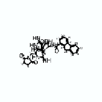 N=C1N[C@H]2[C@H](CN3C(=O)CCC3=O)NC(=N)N3C[C@H](NC(=O)c4cccc5c4Cc4ccccc4-5)C(O)(O)[C@]23N1